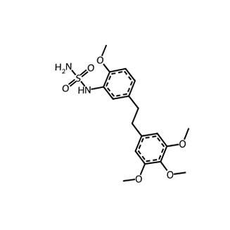 COc1ccc(CCc2cc(OC)c(OC)c(OC)c2)cc1NS(N)(=O)=O